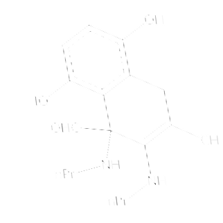 CCCNC1=C(C)Cc2c(O)ccc(O)c2C1(C=O)NCCC